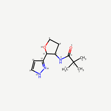 CC(C)(C)C(=O)NC1CCOC1c1cc[nH]n1